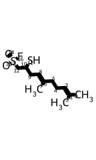 CC(C)=CCC/C(C)=C/CC(S)CS(=O)(=O)F